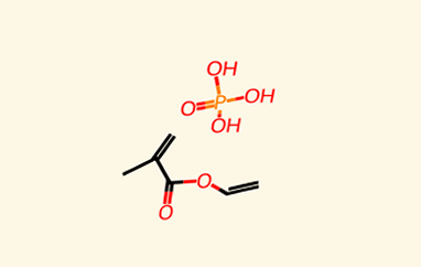 C=COC(=O)C(=C)C.O=P(O)(O)O